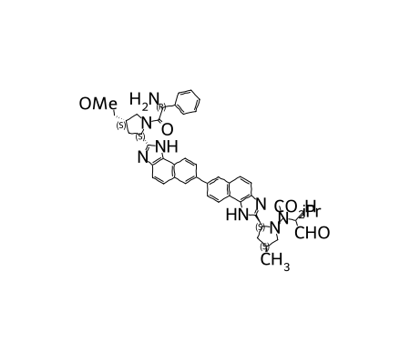 COC[C@H]1C[C@@H](c2nc3ccc4cc(-c5ccc6c(ccc7nc([C@@H]8C[C@H](C)CN8N(C(=O)O)C(C=O)C(C)C)[nH]c76)c5)ccc4c3[nH]2)N(C(=O)[C@H](N)c2ccccc2)C1